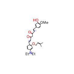 CCN(CC)c1ccc(/C=C/C(=O)CC(=O)/C=C/c2ccc(OC)c(O)c2)c(OCC=C(C)C)c1